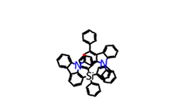 c1ccc(-c2cc(-n3c4ccccc4c4cccc([Si](c5ccccc5)(c5ccccc5)c5ccccc5)c43)cc3c2c2ccccc2n3-c2ccccc2)cc1